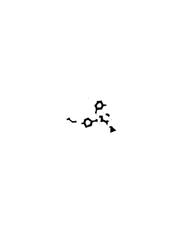 CC(CCOc1ccc(-c2nc3c(OC4(C)CC4)ncnc3n2Cc2cc(C(F)(F)F)cc(C(F)(F)F)c2)c(Cl)c1)C(=O)O